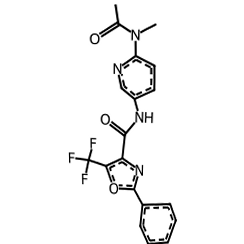 CC(=O)N(C)c1ccc(NC(=O)c2nc(-c3ccccc3)oc2C(F)(F)F)cn1